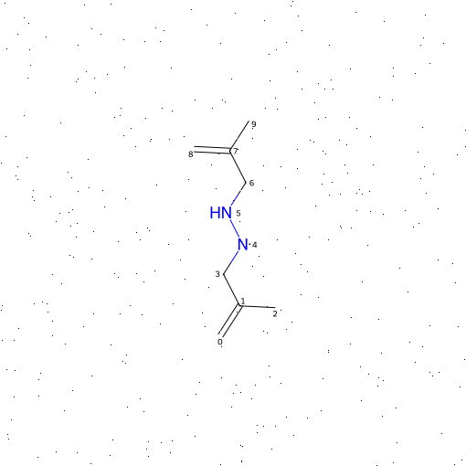 C=C(C)C[N]NCC(=C)C